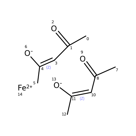 CC(=O)/C=C(/C)[O-].CC(=O)/C=C(/C)[O-].[Fe+2]